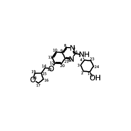 O[C@H]1CC[C@H](Nc2ncc3ccc(OCC4CCOC4)cc3n2)CC1